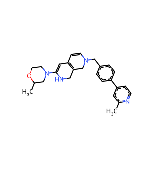 Cc1cc(-c2ccc(CN3C=CC4=C(CNC(N5CCOC(C)C5)=C4)C3)cc2)ccn1